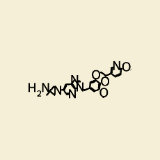 COc1ccc(C2COc3cc(Cn4cnc5cc(N6CC(C)(N)C6)cnc54)cc(OC)c3O2)cn1